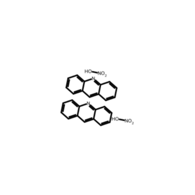 O=[N+]([O-])O.O=[N+]([O-])O.c1ccc2nc3ccccc3cc2c1.c1ccc2nc3ccccc3cc2c1